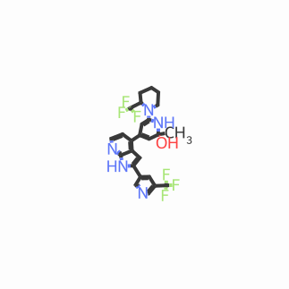 CC1(O)C=C(c2ccnc3[nH]c(-c4cncc(C(F)(F)F)c4)cc23)C=C(N2CCCCC2C(F)(F)F)N1